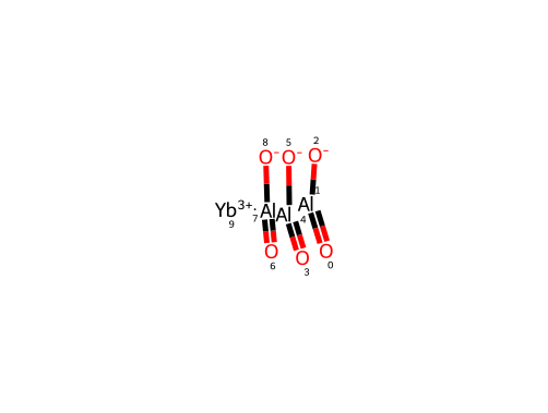 [O]=[Al][O-].[O]=[Al][O-].[O]=[Al][O-].[Yb+3]